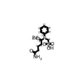 NC(=O)CCCC(=O)N(CS(=O)(=O)O)c1ccccc1.[Pd]